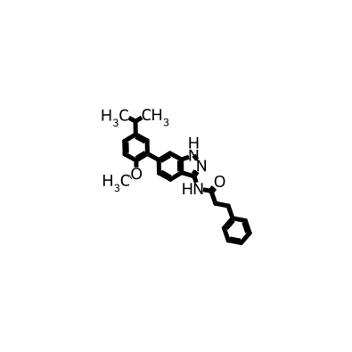 COc1ccc(C(C)C)cc1-c1ccc2c(NC(=O)CCc3ccccc3)n[nH]c2c1